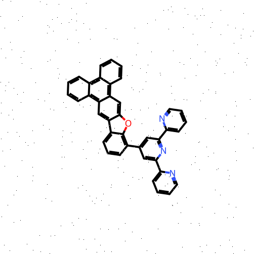 c1ccc(-c2cc(-c3cccc4c3oc3cc5c6ccccc6c6ccccc6c5cc34)cc(-c3ccccn3)n2)nc1